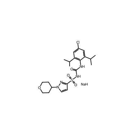 CC(C)c1cc(Cl)cc(C(C)C)c1NC(=O)NS(=O)(=O)c1ccn(C2CCOCC2)n1.[NaH]